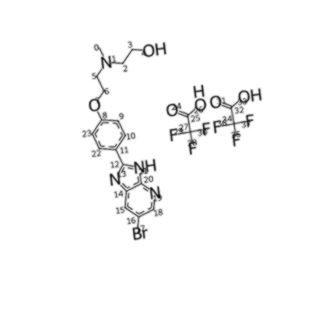 CN(CCO)CCOc1ccc(-c2nc3cc(Br)cnc3[nH]2)cc1.O=C(O)C(F)(F)F.O=C(O)C(F)(F)F